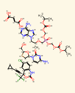 CC(C)OC(=O)OCOP(=O)(CO[C@H](C)Cn1cnc2c(N)ncnc21)OCOC(=O)OC(C)C.Nc1ccn([C@H]2CS[C@@H](CO)O2)c(=O)n1.O=C(O)/C=C/C(=O)O.O=C1Nc2ccc(Cl)cc2[C@@](C#CC2CC2)(C(F)(F)F)O1